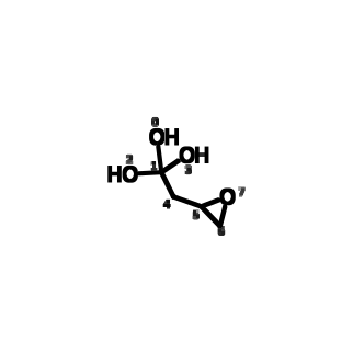 OC(O)(O)CC1CO1